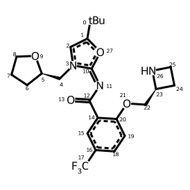 CC(C)(C)c1cn(C[C@H]2CCCO2)c(=NC(=O)c2cc(C(F)(F)F)ccc2OC[C@@H]2CCN2)o1